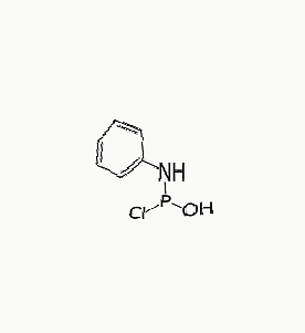 OP(Cl)Nc1ccccc1